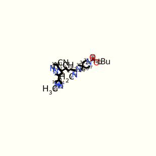 C=N/C(=C\C=C(/C)c1cc(-c2cnn(C)c2)cn2ncc(C#N)c12)N1CC2(CCN(C(=O)OC(C)(C)C)CC2)C1